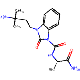 CC(C)(N)CCn1c(=O)n(C(=O)N[C@H](C(N)=O)C(C)(C)C)c2ccccc21